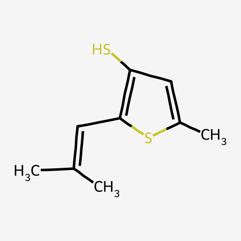 CC(C)=Cc1sc(C)cc1S